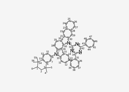 CC1CC(C)(C)c2cc(-n3c4ccccc4c4c3ccc3c5cc6ccccc6cc5n(-c5nc(-c6ccccc6)nc(-c6ccccc6)n5)c34)ccc2C1(C)C